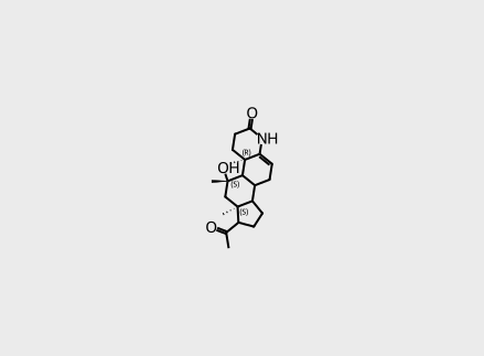 CC(=O)C1CCC2C3CC=C4NC(=O)CC[C@]4(C)C3[C@@](C)(O)C[C@]12C